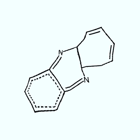 C1=CC2N=c3ccccc3=NC2C=C1